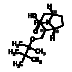 CC(C)(C)[Si](C)(C)OC[C@H]1NC[C@@H]2CC[C@H]1N2C(=O)O